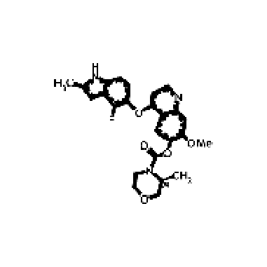 COc1cc2nccc(Oc3ccc4[nH]c(C)cc4c3F)c2cc1OC(=O)N1CCOC[C@@H]1C